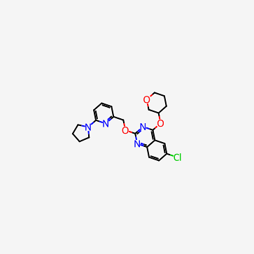 Clc1ccc2nc(OCc3cccc(N4CCCC4)n3)nc(OC3CCCOC3)c2c1